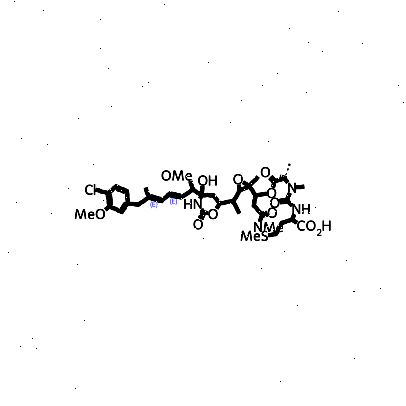 CNC(=O)CC(OC(=O)[C@H](C)N(C)C(=O)NC(CCSC)C(=O)O)C1(C)OC1C(C)C1CC(O)(C(/C=C/C=C(\C)Cc2ccc(Cl)c(OC)c2)OC)NC(=O)O1